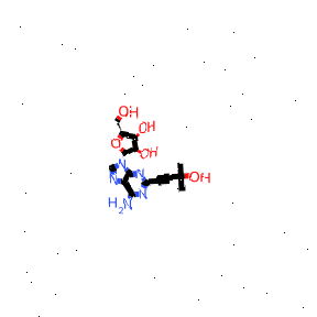 CC(C)(O)C#Cc1nc(N)c2ncn([C@@H]3O[C@H](CO)[C@@H](O)[C@H]3O)c2n1